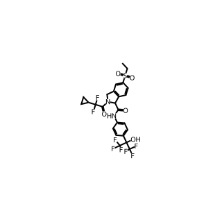 CCS(=O)(=O)c1ccc2c(c1)CN(C(=O)C(F)(F)C1CC1)C2C(=O)Nc1ccc(C(O)(C(F)(F)F)C(F)(F)F)cc1